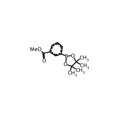 COC(=O)c1cccc(B2OC(C)(C)C(C)(C)O2)c1